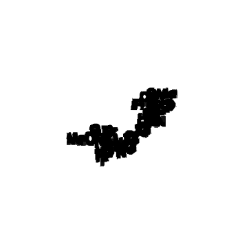 COC(=O)N[C@H](C(=O)N1C[Si]2(CCCC2)C[C@H]1c1ncc(-c2ccc(-c3ccc4c(ccc5nc([C@@H]6CC(F)(F)CN6C(=O)[C@@H](NC(=O)OC)C(C)C)[nH]c54)c3)cc2)[nH]1)C(C)C